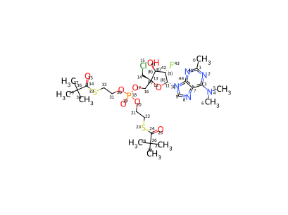 Cc1nc(N(C)C)c2ncn([C@@H]3O[C@](CCl)(COP(=O)(OCCSC(=O)C(C)(C)C)OCCSC(=O)C(C)(C)C)[C@@H](O)[C@@H]3F)c2n1